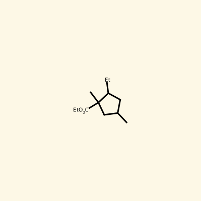 CCOC(=O)C1(C)CC(C)CC1CC